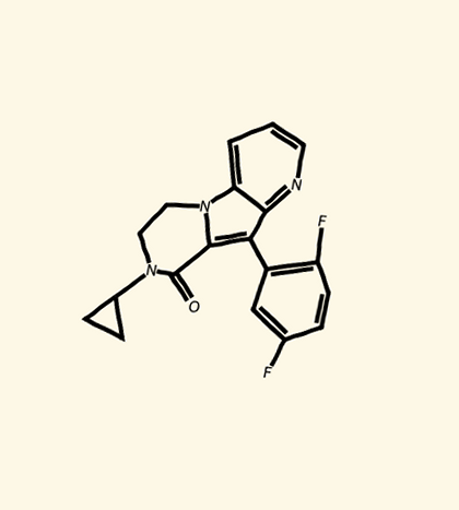 O=C1c2c(-c3cc(F)ccc3F)c3ncccc3n2CCN1C1CC1